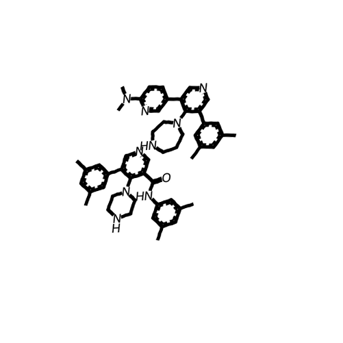 Cc1cc(C)cc(-c2cncc(-c3ccc(N(C)C)nc3)c2N2CCCNCC2)c1.Cc1cc(C)cc(NC(=O)c2cncc(-c3cc(C)cc(C)c3)c2N2CCNCC2)c1